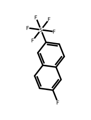 Fc1ccc2cc(S(F)(F)(F)(F)F)ccc2c1